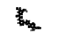 CNC(=O)[C@@H](NC(=O)c1ccc(-c2cc(CNC(=O)c3cc(C)n(C)n3)ccn2)o1)C(C)C